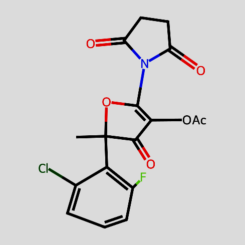 CC(=O)OC1=C(N2C(=O)CCC2=O)OC(C)(c2c(F)cccc2Cl)C1=O